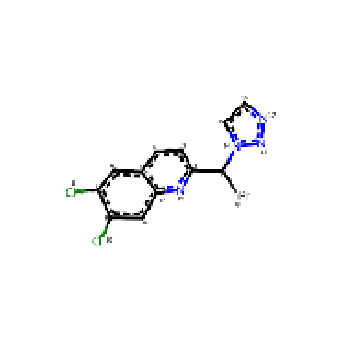 CC(C)C(c1ccc2cc(Cl)c(Cl)cc2n1)n1ccnn1